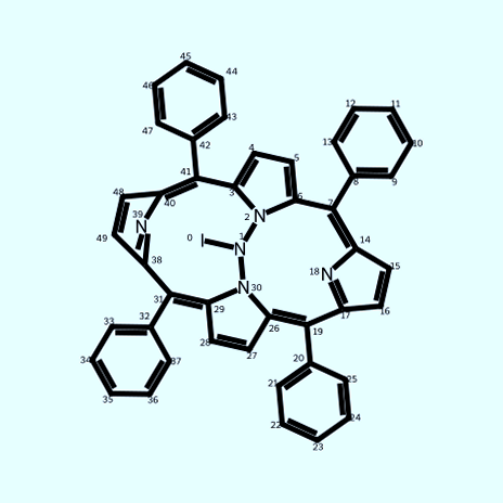 IN1n2c3ccc2/C(c2ccccc2)=C2/C=CC(=N2)/C(c2ccccc2)=c2/cc/c(n21)=C(\c1ccccc1)C1=N/C(=C\3c2ccccc2)C=C1